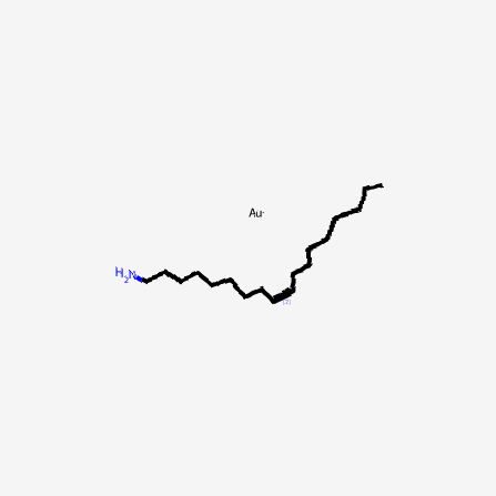 CCCCCCCC/C=C\CCCCCCCCN.[Au]